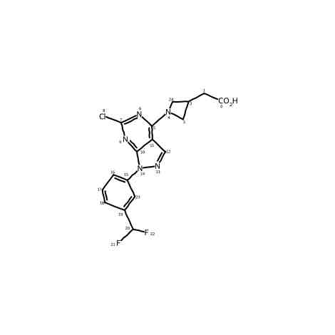 O=C(O)CC1CN(c2nc(Cl)nc3c2cnn3-c2cccc(C(F)F)c2)C1